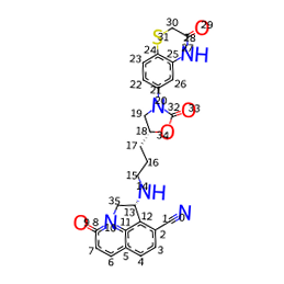 N#Cc1ccc2ccc(=O)n3c2c1[C@@H](NCCC[C@@H]1CN(c2ccc4c(c2)NC(=O)CS4)C(=O)O1)C3